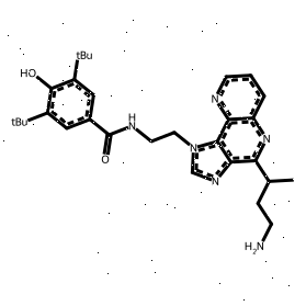 CC(CCN)c1nc2cccnc2c2c1ncn2CCNC(=O)c1cc(C(C)(C)C)c(O)c(C(C)(C)C)c1